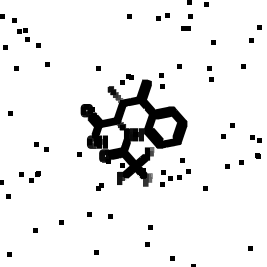 C=C(c1ccccc1)[C@@H](C)[C@H](NC(=O)C(F)(F)F)C(=O)O